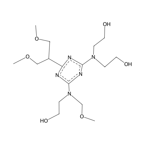 COCC(COC)c1nc(N(CCO)CCO)nc(N(CCO)COC)n1